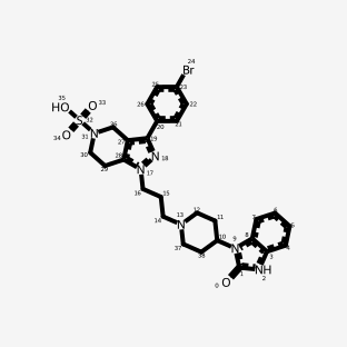 O=c1[nH]c2ccccc2n1C1CCN(CCCn2nc(-c3ccc(Br)cc3)c3c2CCN(S(=O)(=O)O)C3)CC1